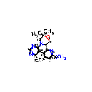 CCc1ncnc(N2CCOC(C)(C)C2)c1-c1ccc(N)nc1